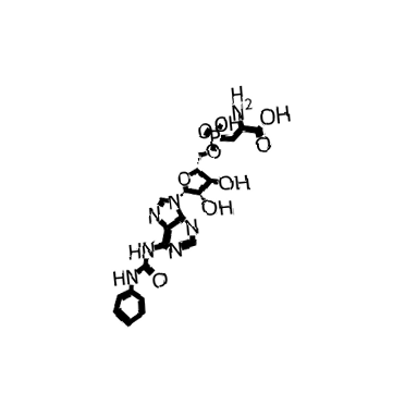 NC(CP(=O)(O)OC[C@H]1O[C@@H](n2cnc3c(NC(=O)Nc4ccccc4)ncnc32)[C@@H](O)C1O)C(=O)O